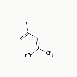 C=C(C)/C=C(\CCC)C(F)(F)F